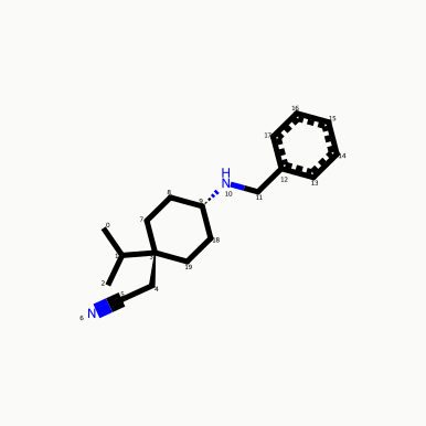 CC(C)[C@]1(CC#N)CC[C@H](NCc2ccccc2)CC1